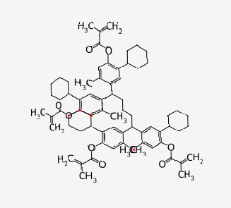 C=C(C)C(=O)Oc1cc(C)c(C(CCCC(c2cc(C3CCCCC3)c(OC(=O)C(=C)C)cc2C)c2cc(C3CCCCC3)c(OC(=O)C(=C)C)cc2C)c2cc(C3CCCCC3)c(OC(=O)C(=C)C)cc2C)cc1C1CCCCC1